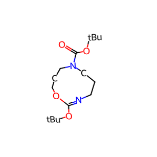 CC(C)(C)OC(=O)N1CCC/N=C(/OC(C)(C)C)OCCC1